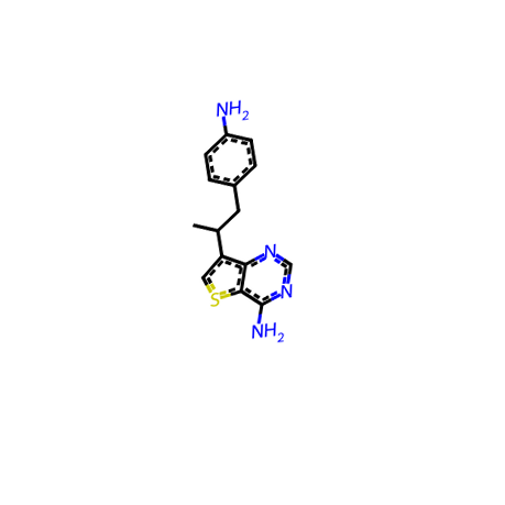 CC(Cc1ccc(N)cc1)c1csc2c(N)ncnc12